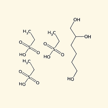 CCS(=O)(=O)O.CCS(=O)(=O)O.CCS(=O)(=O)O.OCCCCC(O)CO